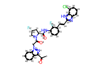 CC(=O)c1nn(CC(=O)N2C[C@H](F)C[C@H]2C(=O)Nc2cccc(C=Cc3nc4cccc(Cl)c4[nH]3)c2F)c2ccccc12